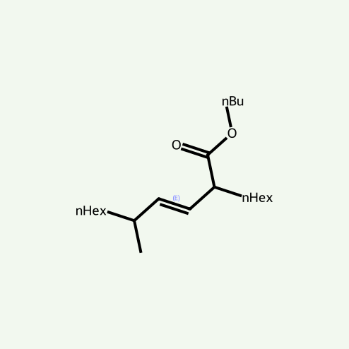 CCCCCCC(C)/C=C/C(CCCCCC)C(=O)OCCCC